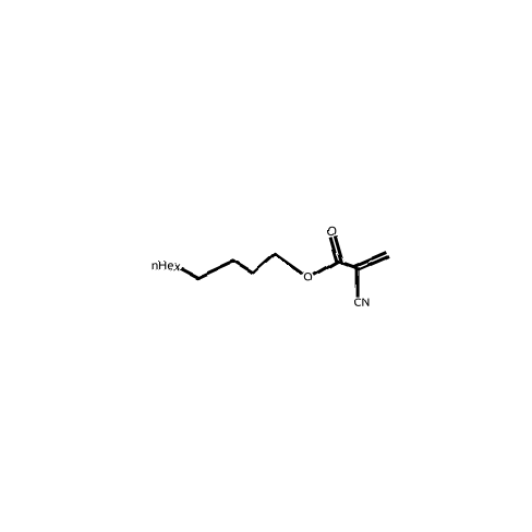 C=C(C#N)C(=O)OCCCCCCCCCC